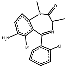 CC1N=C(c2ccccc2Cl)c2c(ccc(N)c2Br)N(C)C1=O